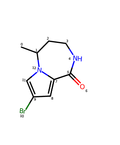 CC1CCNC(=O)c2cc(Br)cn21